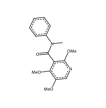 COc1cnc(OC)c(C(=O)N(C)c2ccccc2)c1OC